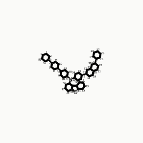 c1ccc(-c2ccc(-c3ccc(N(c4ccc(-c5ccc6ccc(-c7ccccc7)cc6c5)cc4)c4cccc5oc6ccccc6c45)cc3)cc2)cc1